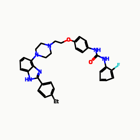 CCc1ccc(-c2nc3c(N4CCN(CCOc5ccc(NC(=O)Nc6ccccc6F)cc5)CC4)cccc3[nH]2)cc1